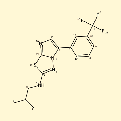 CC(C)CNc1nn2c(-c3cccc(C(F)(F)F)c3)cnc2s1